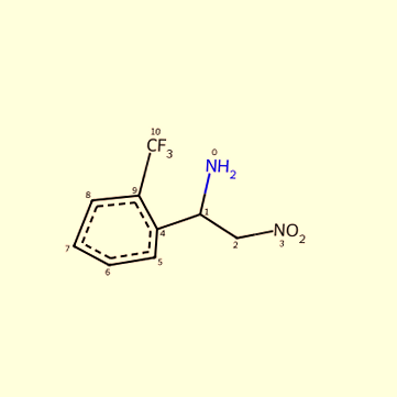 NC(C[N+](=O)[O-])c1ccccc1C(F)(F)F